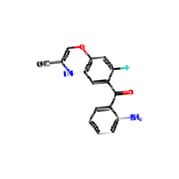 Nc1ccccc1C(=O)c1cc2c(cc1F)OC=C(C=O)N2